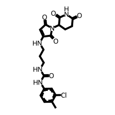 Cc1ccc(NC(=O)NCCCNC2=CC(=O)N(C3CCC(=O)NC3=O)C2=O)cc1Cl